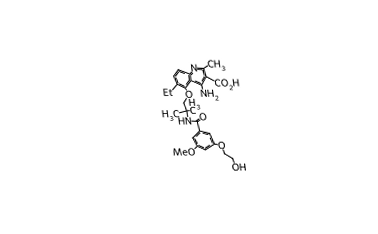 CCc1ccc2nc(C)c(C(=O)O)c(N)c2c1OCC(C)(C)NC(=O)c1cc(OC)cc(OCCO)c1